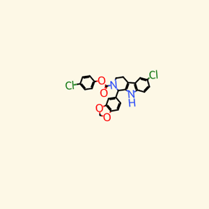 O=C(Oc1ccc(Cl)cc1)N1CCc2c([nH]c3ccc(Cl)cc23)C1c1ccc2c(c1)OCO2